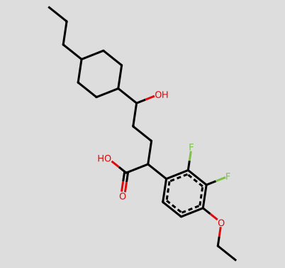 CCCC1CCC(C(O)CCC(C(=O)O)c2ccc(OCC)c(F)c2F)CC1